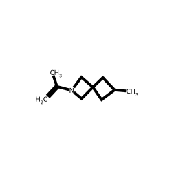 C=C(C)N1CC2(CC(C)C2)C1